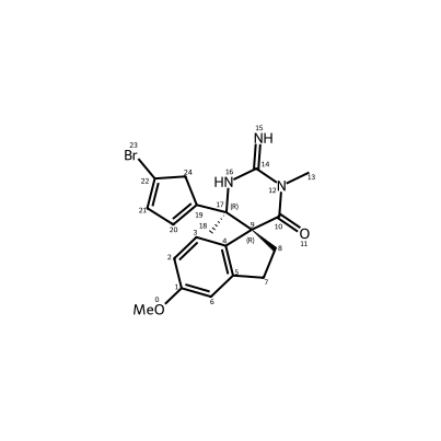 COc1ccc2c(c1)CC[C@@]21C(=O)N(C)C(=N)N[C@]1(C)C1=CC=C(Br)C1